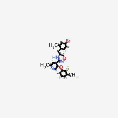 Cc1cc(C2=NOCC(Cc3ccc(Br)cc3C)N2)c(Oc2cccc(C)c2F)cn1